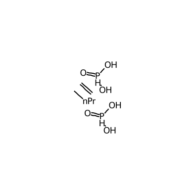 C=C.CCCC.O=[PH](O)O.O=[PH](O)O